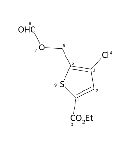 CCOC(=O)c1cc(Cl)c(COC=O)s1